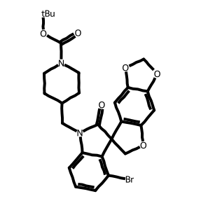 CC(C)(C)OC(=O)N1CCC(CN2C(=O)C3(COc4cc5c(cc43)OCO5)c3c(Br)cccc32)CC1